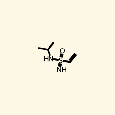 C=CS(=N)(=O)NC(C)C